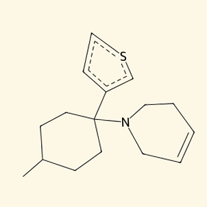 CC1CCC(c2ccsc2)(N2CC=CCC2)CC1